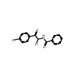 O=C(NC(Cl)C(=O)c1ccc(Cl)cc1)c1ccccc1